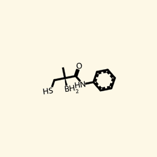 B[C@](C)(CS)C(=O)Nc1ccccc1